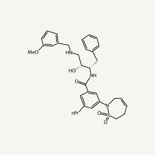 CCCc1cc(C(=O)N[C@@H](Cc2ccccc2)[C@H](O)CNCc2cccc(OC)c2)cc(N2CC=CCCS2(=O)=O)c1